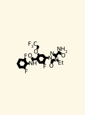 CCn1c(C(N)=O)nn(-c2cc(OCC(F)(F)F)c(C(=O)Nc3c(F)cccc3F)cc2F)c1=O